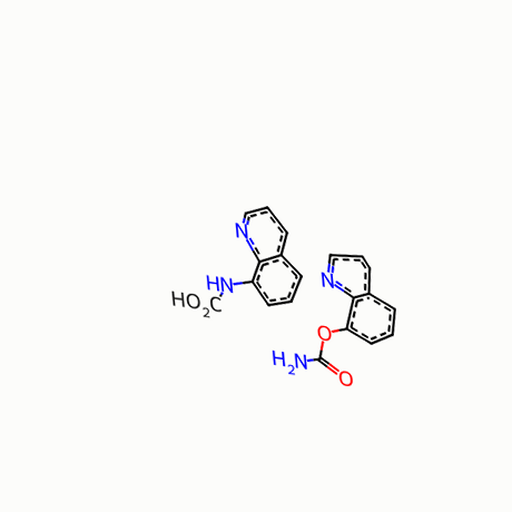 NC(=O)Oc1cccc2cccnc12.O=C(O)Nc1cccc2cccnc12